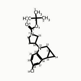 CC(C)(C)OC(=O)N1CCC(N2CC3CC3c3cc(Cl)ccc32)C1